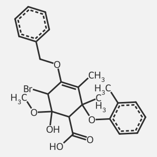 COC1(O)C(Br)C(OCc2ccccc2)=C(C)C(C)(Oc2ccccc2C)C1C(=O)O